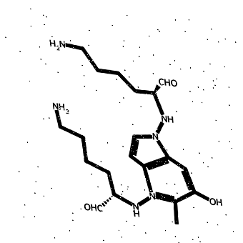 Cc1c(O)cc2c(ccn2N[C@H](C=O)CCCCN)[n+]1N[C@H](C=O)CCCCN